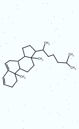 CC(C)CCCC(C)C1CCC2C3CC=C4C=CCCC4(C)C3CCC12C